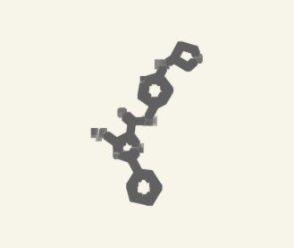 O=C(Nc1ccc(NC2CCOC2)nc1)c1nc(-c2ccccc2)oc1C(F)(F)F